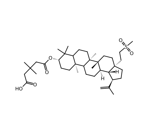 C=C(C)[C@@H]1CC[C@]2(CCS(C)(=O)=O)CC[C@]3(C)[C@H](CCC4[C@@]5(C)CC[C@H](OC(=O)CC(C)(C)CC(=O)O)C(C)(C)C5CC[C@]43C)[C@@H]12